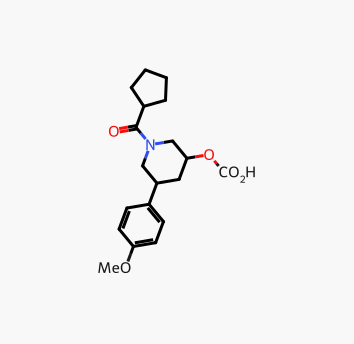 COc1ccc(C2CC(OC(=O)O)CN(C(=O)C3CCCC3)C2)cc1